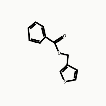 O=C(OCc1ccsc1)c1ccccc1